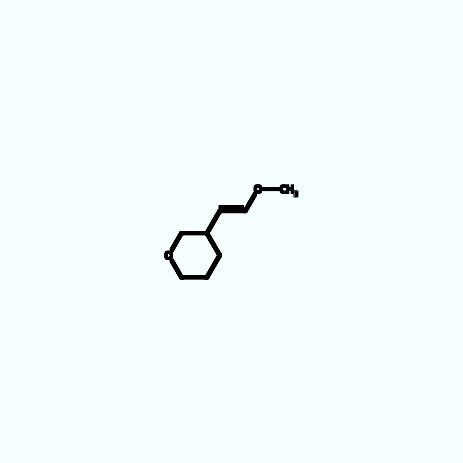 CO/C=C/C1CCCOC1